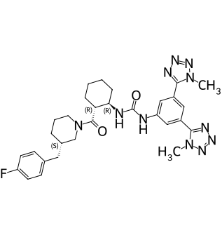 Cn1nnnc1-c1cc(NC(=O)N[C@@H]2CCCC[C@H]2C(=O)N2CCC[C@@H](Cc3ccc(F)cc3)C2)cc(-c2nnnn2C)c1